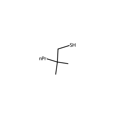 CCCC(C)(C)CS